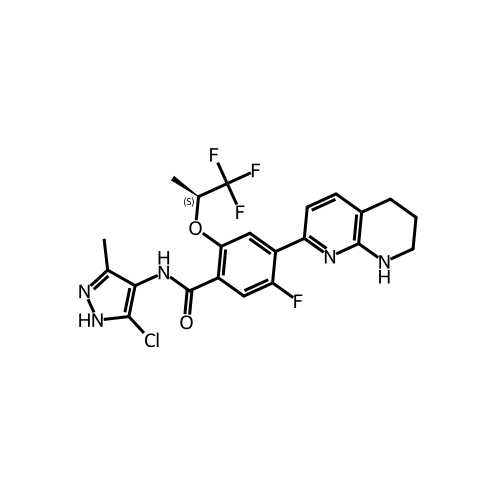 Cc1n[nH]c(Cl)c1NC(=O)c1cc(F)c(-c2ccc3c(n2)NCCC3)cc1O[C@@H](C)C(F)(F)F